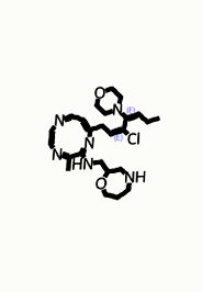 CC/C=C(\C(Cl)=C/Cc1ccnccnc(C)c(NCC2CNCCCO2)n1)N1CCOCC1